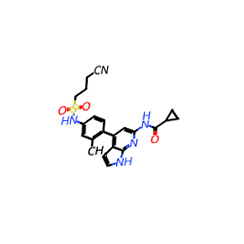 Cc1cc(NS(=O)(=O)CCCC#N)ccc1-c1cc(NC(=O)C2CC2)nc2[nH]ccc12